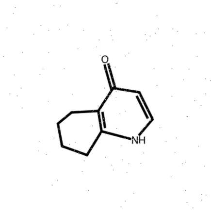 O=c1cc[nH]c2c1CCCC2